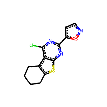 Clc1nc(-c2ccno2)nc2sc3c(c12)CCCC3